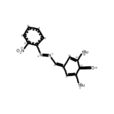 CC(C)(C)C1=CC(=CN=Nc2ccccc2[N+](=O)[O-])C=C(C(C)(C)C)C1=O